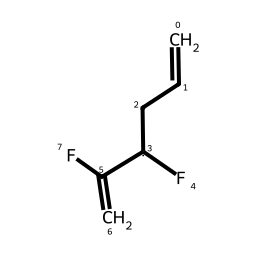 C=CC[C](F)C(=C)F